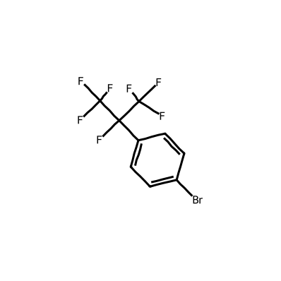 FC(F)(F)C(F)(c1ccc(Br)cc1)C(F)(F)F